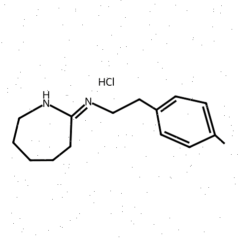 Cc1ccc(CCN=C2CCCCCN2)cc1.Cl